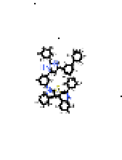 C1=C(c2cccc(-n3c4ccccc4c4c5c(sc43)c(-c3ccccc3)nc3ccccc35)c2)NC(c2ccccc2)N=C1c1cccc(-c2ccccc2)c1